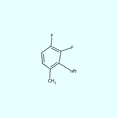 CCCc1c(C)ccc(F)c1F